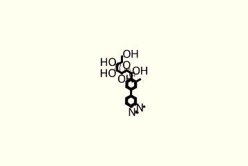 Cc1cc(-c2ccc3ncn(C)c3c2)ccc1[C@@H](O)[C@H]1OC(CO)[C@@H](O)[C@H](O)C1O